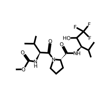 COC(=O)N[C@H](C(=O)N1CCC[C@H]1C(=O)N[C@H](C(C)C)C(O)C(F)(F)F)C(C)C